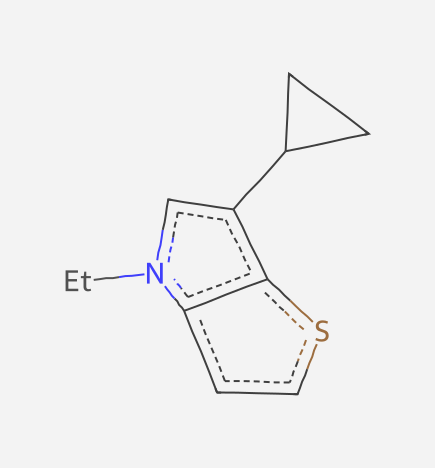 CCn1cc(C2CC2)c2sccc21